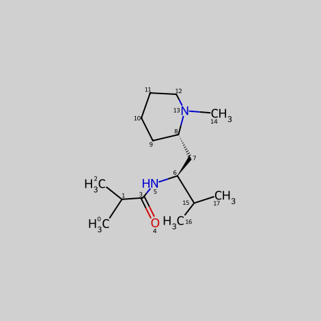 CC(C)C(=O)N[C@@H](C[C@@H]1CCCCN1C)C(C)C